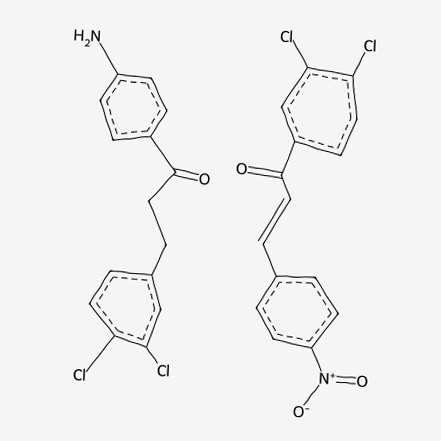 Nc1ccc(C(=O)CCc2ccc(Cl)c(Cl)c2)cc1.O=C(C=Cc1ccc([N+](=O)[O-])cc1)c1ccc(Cl)c(Cl)c1